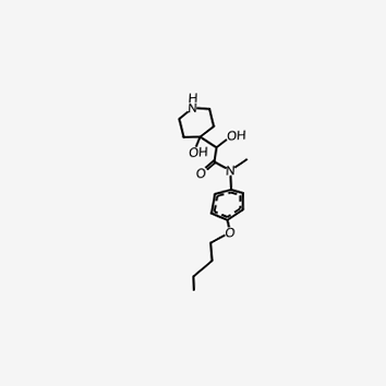 CCCCOc1ccc(N(C)C(=O)C(O)C2(O)CCNCC2)cc1